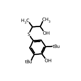 CC(O)C(C)Sc1cc(C(C)(C)C)c(O)c(C(C)(C)C)c1